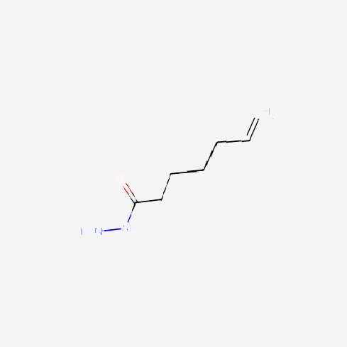 C=CCCCCC(=O)NN